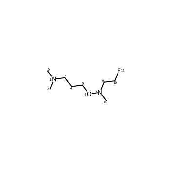 CN(C)CCCON(C)CCF